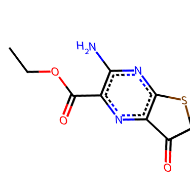 CCOC(=O)c1nc2c(nc1N)SCC2=O